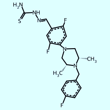 C[C@@H]1CN(c2cc(F)c(/C=N/NC(N)=S)cc2F)C[C@H](C)N1Cc1ccc(F)cc1